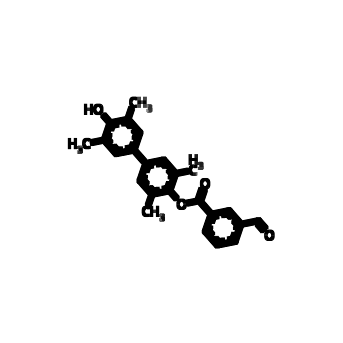 Cc1cc(-c2cc(C)c(OC(=O)c3cccc(C=O)c3)c(C)c2)cc(C)c1O